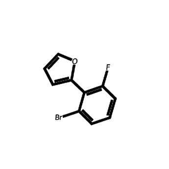 Fc1cccc(Br)c1-c1ccco1